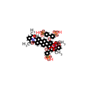 CC(C)c1cccc(C(C)C)c1N1C(=O)c2ccc3c4ccc5c6c(Oc7ccc(S(=O)(=O)O)cc7-c7ccc(S(=O)(=O)O)cc7)cc7c8c(cc(Oc9ccc(S(=O)(=O)O)cc9-c9ccc(S(=O)(=O)O)cc9)c(c9ccc(c%10ccc(c2c3%10)C1=O)c4c59)c86)C(O)N(c1c(C(C)C)cccc1C(C)C)C7=O